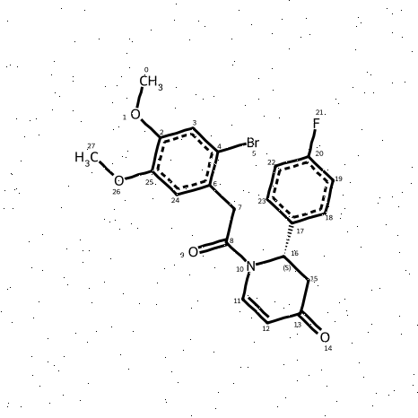 COc1cc(Br)c(CC(=O)N2C=CC(=O)C[C@H]2c2ccc(F)cc2)cc1OC